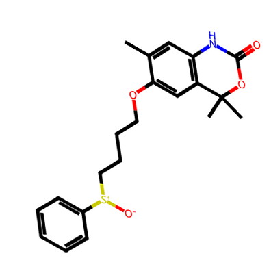 Cc1cc2c(cc1OCCCC[S+]([O-])c1ccccc1)C(C)(C)OC(=O)N2